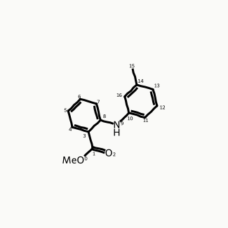 COC(=O)c1ccccc1Nc1cccc(C)c1